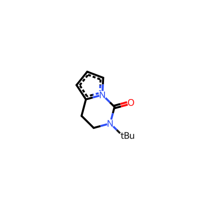 CC(C)(C)N1CCc2cccn2C1=O